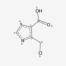 O=C(O)c1scnc1CCl